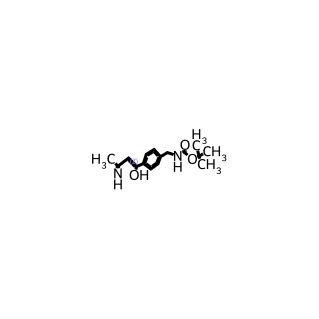 CC(=N)/C=C(\O)c1ccc(CNC(=O)OC(C)(C)C)cc1